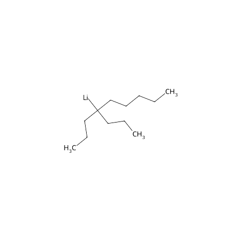 [Li][C](CCC)(CCC)CCCCC